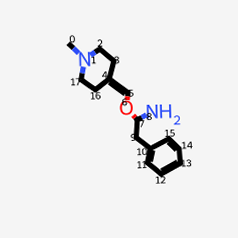 CN1CCC(=COC(N)Cc2ccccc2)CC1